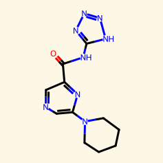 O=C(Nc1nnn[nH]1)c1cncc(N2CCCCC2)n1